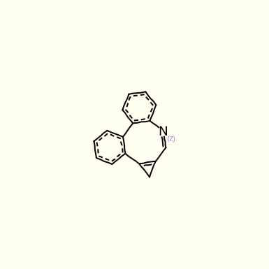 C1=N\c2ccccc2-c2ccccc2C2=C/1C2